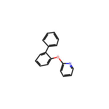 c1ccc(-c2ccccc2Oc2ccccn2)cc1